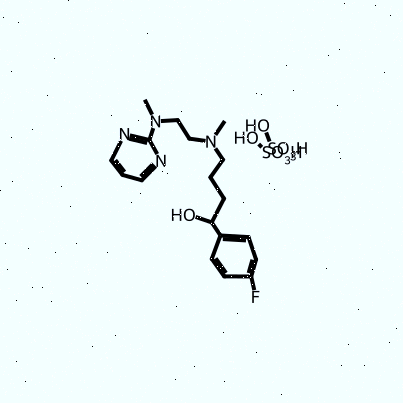 CN(CCCC(O)c1ccc(F)cc1)CCN(C)c1ncccn1.O=S(=O)(O)O.O=S(=O)(O)O